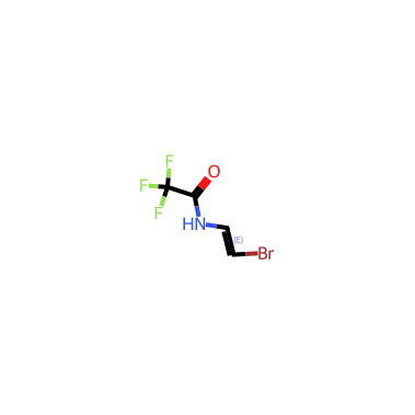 O=C(N/C=C/Br)C(F)(F)F